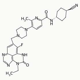 CCN1C(=O)Nc2c(F)c(CN3CCN(c4ccc(C(=O)N[C@H]5CC[C@H](C#N)CC5)nc4C)CC3)cc3ncnc1c23